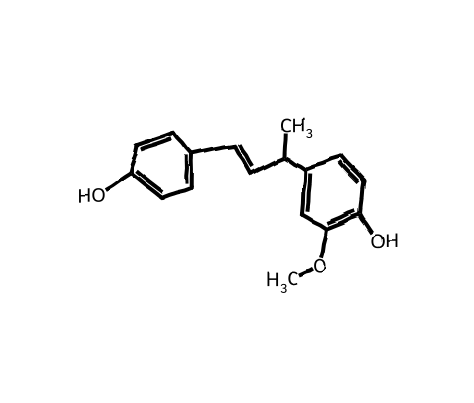 COc1cc(C(C)/C=C/c2ccc(O)cc2)ccc1O